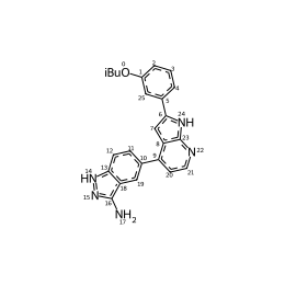 CC(C)COc1cccc(-c2cc3c(-c4ccc5[nH]nc(N)c5c4)ccnc3[nH]2)c1